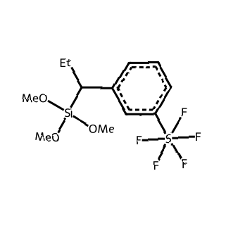 CCC(c1cccc(S(F)(F)(F)(F)F)c1)[Si](OC)(OC)OC